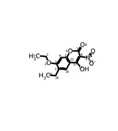 CCOc1cc2oc(=O)c([N+](=O)[O-])c(O)c2cc1CC